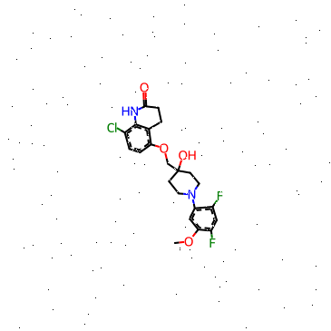 COc1cc(N2CCC(O)(COc3ccc(Cl)c4c3CCC(=O)N4)CC2)c(F)cc1F